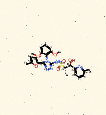 COc1cccc(OC)c1-n1c(NS(=O)(=O)[C@@H](C)[C@@H](O)c2cccc(C)n2)nnc1-c1ccc(C)o1